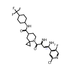 N=C(/C=C(\N)c1cc(Cl)ncc1F)C(=O)N1CCC(C(=O)NC2CCC(C(F)(F)F)CC2)CC12CC2